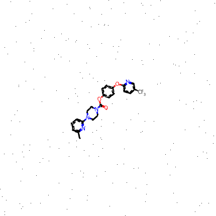 Cc1cccc(N2CCN(C(=O)Oc3ccc(Oc4ccc(C(F)(F)F)cn4)cc3)CC2)n1